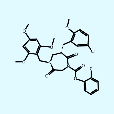 COc1cc(OC)c(CN2C[C@H](Cc3cc(Cl)ccc3OC)C(=O)N(C(=O)Oc3ccccc3Cl)CC2=O)c(OC)c1